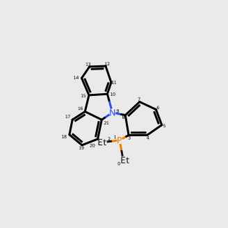 CCP(CC)c1ccccc1-n1c2ccccc2c2ccccc21